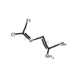 CC/C(Cl)=N\C=C(/N)C(C)(C)C